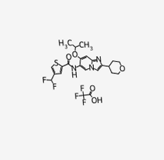 CC(C)Oc1cc2nc(C3CCOCC3)cn2cc1NC(=O)c1cc(C(F)F)cs1.O=C(O)C(F)(F)F